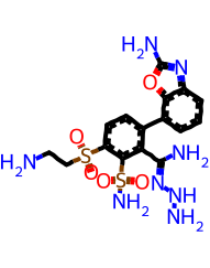 NCCS(=O)(=O)c1ccc(-c2cccc3nc(N)oc23)c(/C(N)=N/NN)c1S(N)(=O)=O